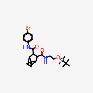 CC(C)(C)[Si](C)(C)OCCNC(=O)C1C(C(=O)Nc2ccc(Br)cc2)C2CCC1C21CC1